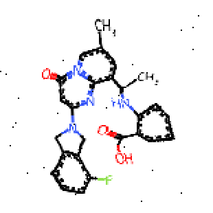 Cc1cc([C@@H](C)Nc2ccccc2C(=O)O)c2nc(N3Cc4cccc(F)c4C3)cc(=O)n2c1